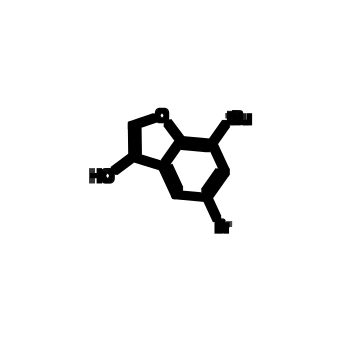 CC(C)(C)c1cc(Br)cc2c(O)coc12